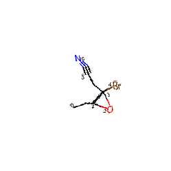 CC1OC1(Br)C#N